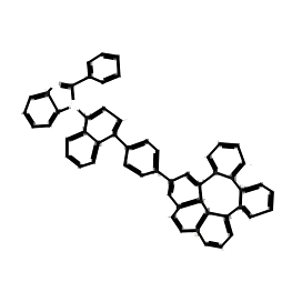 c1ccc(-c2nc3ccccc3n2-c2ccc(-c3ccc(-c4cc5ccc6cccc7c8ccccc8c8ccccc8c(c4)c5c67)cc3)c3ccccc23)cc1